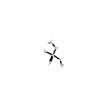 CCCOP(=S)(Cl)SCC